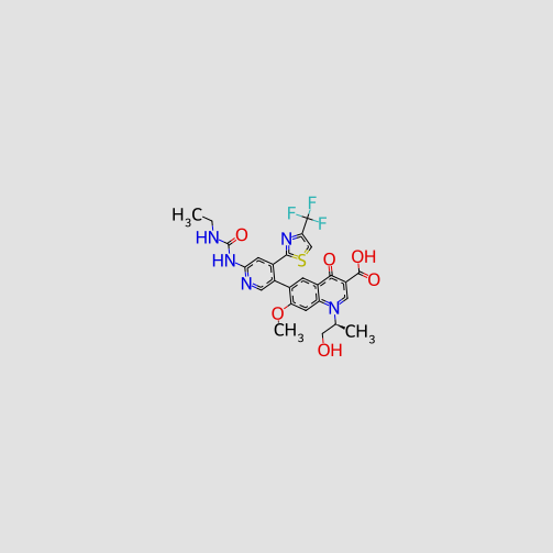 CCNC(=O)Nc1cc(-c2nc(C(F)(F)F)cs2)c(-c2cc3c(=O)c(C(=O)O)cn([C@@H](C)CO)c3cc2OC)cn1